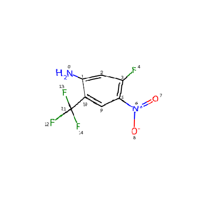 Nc1cc(F)c([N+](=O)[O-])cc1C(F)(F)F